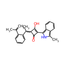 C=C(C)c1ccccc1/C(C)=C1\C(=O)C(c2[nH]c(C)c3ccccc23)=C1O